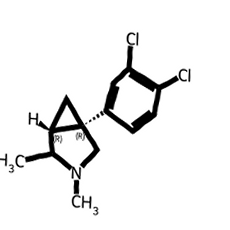 CC1[C@@H]2C[C@@]2(c2ccc(Cl)c(Cl)c2)CN1C